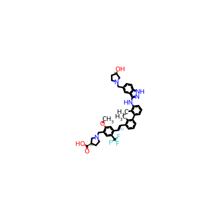 COc1cc(/C=C/c2cccc(-c3cccc(Nc4n[nH]c5ccc(CN6CC[C@@H](O)C6)cc45)c3C)c2C)c(C(F)(F)F)cc1CN1CC[C@@H](C(=O)O)C1